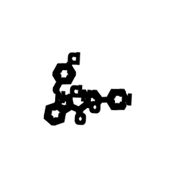 O=C(c1ncc(-c2ccncc2)o1)c1c(Cl)n(Cc2ccc(Cl)cc2)c2ccccc12